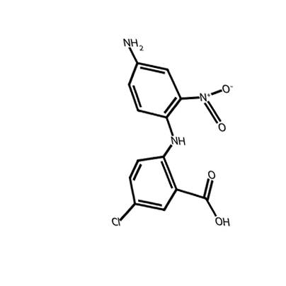 Nc1ccc(Nc2ccc(Cl)cc2C(=O)O)c([N+](=O)[O-])c1